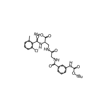 COC(=O)C(CNC(=O)CNC(=O)c1cccc(NC(=O)OC(C)(C)C)c1)NC(=O)c1c(C)cccc1Cl